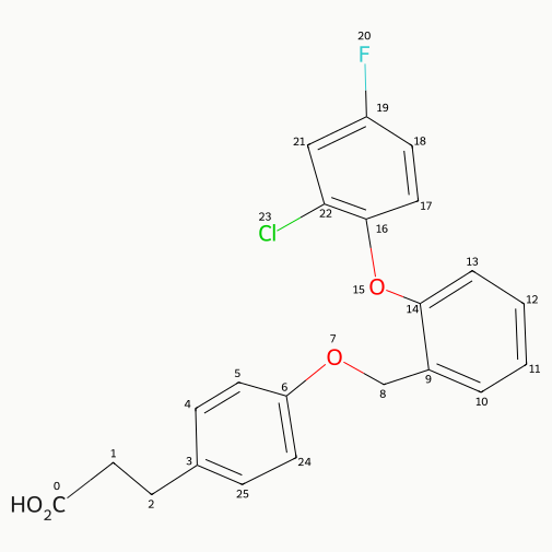 O=C(O)CCc1ccc(OCc2ccccc2Oc2ccc(F)cc2Cl)cc1